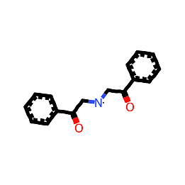 O=C(C[N]CC(=O)c1ccccc1)c1ccccc1